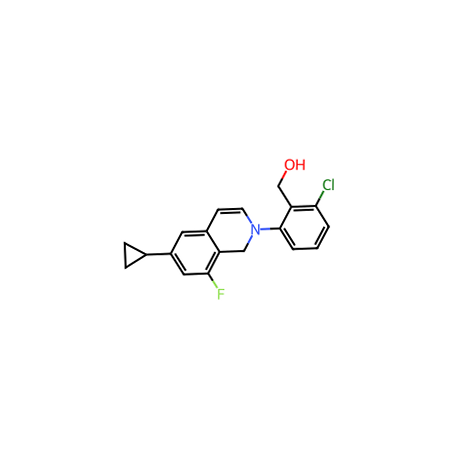 OCc1c(Cl)cccc1N1C=Cc2cc(C3CC3)cc(F)c2C1